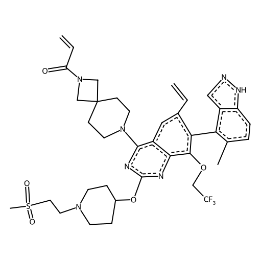 C=CC(=O)N1CC2(CCN(c3nc(OC4CCN(CCS(C)(=O)=O)CC4)nc4c(OCC(F)(F)F)c(-c5c(C)ccc6[nH]ncc56)c(C=C)cc34)CC2)C1